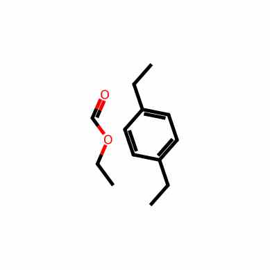 CCOC=O.CCc1ccc(CC)cc1